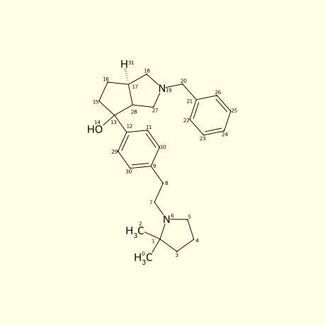 CC1(C)CCCN1CCc1ccc(C2(O)CC[C@H]3CN(Cc4ccccc4)CC32)cc1